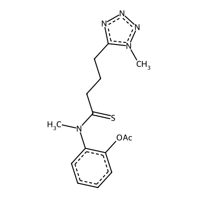 CC(=O)Oc1ccccc1N(C)C(=S)CCCc1nnnn1C